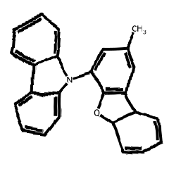 Cc1cc2c(c(-n3c4ccccc4c4ccccc43)c1)OC1C=CC=CC21